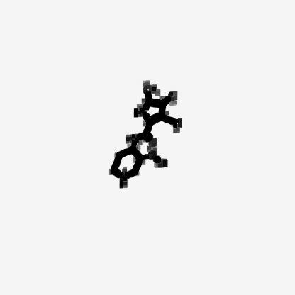 CCO[C@@H]1CNCC[C@H]1NC(=O)c1[nH]c(C)c(Cl)c1Cl